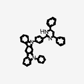 C1=C(c2ccccc2)N=C(c2ccc(-n3c4ccccc4c4cc5c6ccccc6n(-c6ccccc6)c5cc43)cc2)NC1c1ccccc1